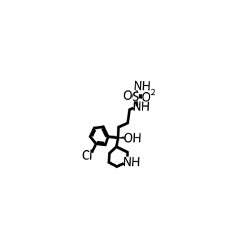 NS(=O)(=O)NCCC[C@@](O)(c1cccc(Cl)c1)C1CCCNC1